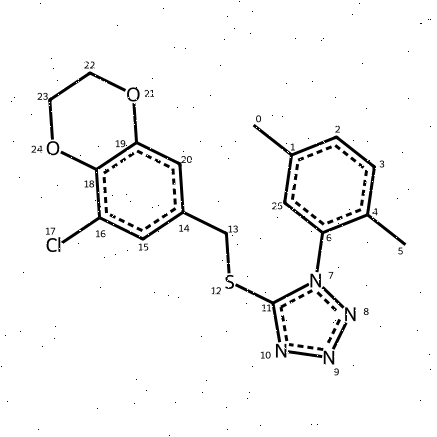 Cc1ccc(C)c(-n2nnnc2SCc2cc(Cl)c3c(c2)OCCO3)c1